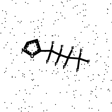 FC(F)(F)C(F)(F)C(F)(F)C(F)(F)c1ccno1